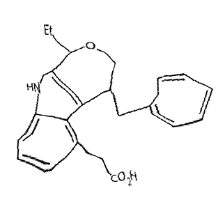 CCC1OCC(Cc2ccccc2)c2c1[nH]c1cccc(CC(=O)O)c21